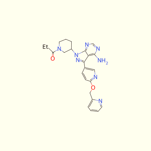 CCC(=O)N1CCCC(n2nc(-c3ccc(OCc4ccccn4)nc3)c3c(N)ncnc32)C1